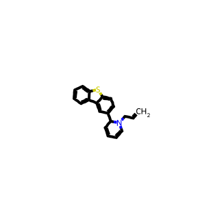 C=CCN1C=CC=CC1c1ccc2sc3ccccc3c2c1